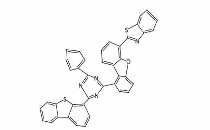 c1ccc(-c2nc(-c3cccc4c3sc3ccccc34)nc(-c3cccc4oc5c(-c6nc7ccccc7s6)cccc5c34)n2)cc1